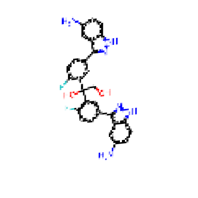 Nc1ccc2[nH]nc(-c3ccc(F)c(C(O)(CO)c4cc(-c5n[nH]c6ccc(N)cc56)ccc4F)c3)c2c1